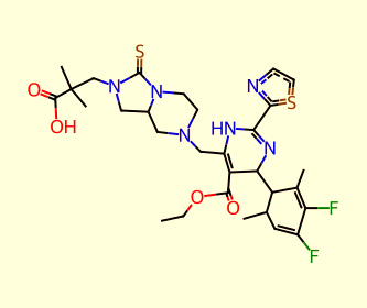 CCOC(=O)C1=C(CN2CCN3C(=S)N(CC(C)(C)C(=O)O)CC3C2)NC(c2nccs2)=NC1C1C(C)=C(F)C(F)=CC1C